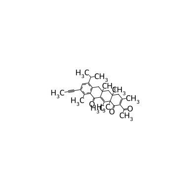 CC#Cc1cc(C(C)C)c2c(c1C)C(=O)C1=C(C)C3(C)C(=O)C(C(C)=O)=C(C)CC3(C)CC1(C)C2